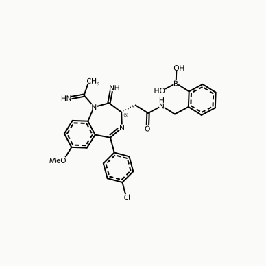 COc1ccc2c(c1)C(c1ccc(Cl)cc1)=N[C@@H](CC(=O)NCc1ccccc1B(O)O)C(=N)N2C(C)=N